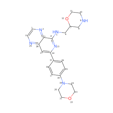 c1cnc2c(NCC3CNCCO3)nc(-c3ccc(N4CCOCC4)cc3)cc2n1